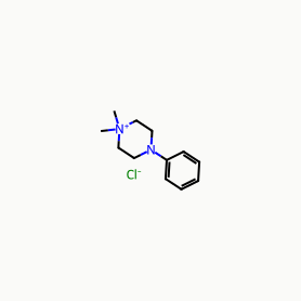 C[N+]1(C)CCN(c2ccccc2)CC1.[Cl-]